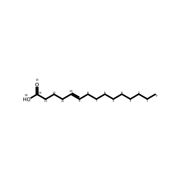 CCCCCCCCCC=CCCCC(=O)O